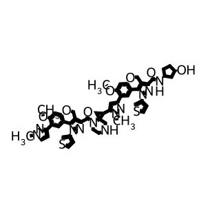 COc1cc2c(cc1-c1ccn(C)n1)-c1c(c(C(=O)N3CCNCC34CC4c3cc(-c4cc5c(cc4OC)OCc4c(C(=O)N[C@H]6CC[C@@H](O)C6)nn(-c6ccsc6)c4-5)nn3C)nn1-c1ccsc1)CO2